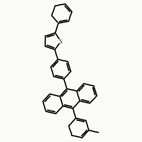 CC1=CCCC(c2c3ccccc3c(-c3ccc(-c4ccc(C5=CC=CCC5)s4)cc3)c3ccccc23)=C1